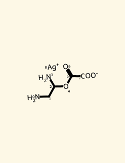 NCC(N)OC(=O)C(=O)[O-].[Ag+]